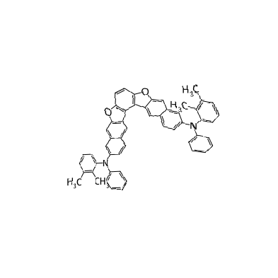 Cc1cccc(N(c2ccccc2)c2ccc3cc4c(cc3c2)oc2ccc3oc5cc6cc(N(c7ccccc7)c7cccc(C)c7C)ccc6cc5c3c24)c1C